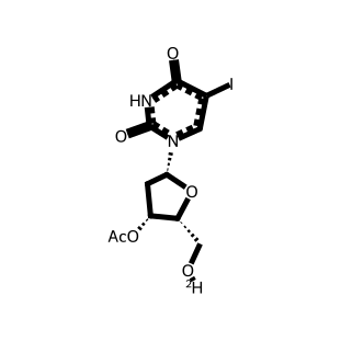 [2H]OC[C@H]1O[C@@H](n2cc(I)c(=O)[nH]c2=O)C[C@H]1OC(C)=O